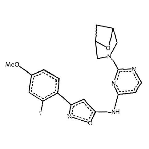 COc1ccc(-c2cc(Nc3ccnc(N4CC5CC(C4)O5)n3)on2)c(F)c1